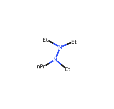 [CH2]CCN(CC)N(CC)CC